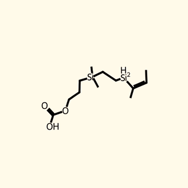 CC=C(C)[SiH2]CC[Si](C)(C)CCCOC(=O)O